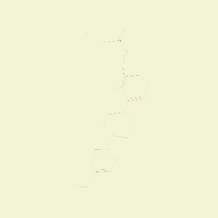 CC(C)(C)Oc1ccc(N2CCN(c3cccc(CNC(=N)NC(=O)O)c3F)CC2)cn1